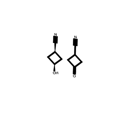 N#CC1CC(=O)C1.N#C[C@H]1C[C@@H](O)C1